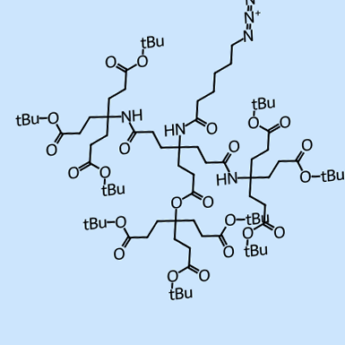 CC(C)(C)OC(=O)CCC(CCC(=O)OC(C)(C)C)(CCC(=O)OC(C)(C)C)NC(=O)CCC(CCC(=O)NC(CCC(=O)OC(C)(C)C)(CCC(=O)OC(C)(C)C)CCC(=O)OC(C)(C)C)(CCC(=O)OC(CCC(=O)OC(C)(C)C)(CCC(=O)OC(C)(C)C)CCC(=O)OC(C)(C)C)NC(=O)CCCCCN=[N+]=[N-]